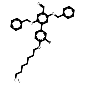 CCCCCCCCOc1ccc(-c2cc(OCc3ccccc3)c(C=O)cc2OCc2ccccc2)cc1F